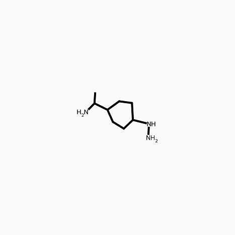 CC(N)C1CCC(NN)CC1